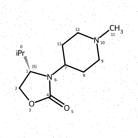 CC(C)[C@H]1COC(=O)N1C1CCN(C)CC1